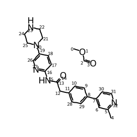 COC=O.Cc1cc(-c2ccc(CC(=O)Nc3ccc(N4CCNCC4)cn3)cc2)ccn1